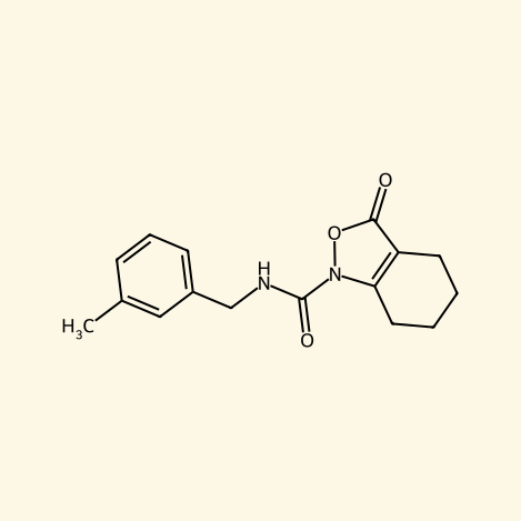 Cc1cccc(CNC(=O)n2oc(=O)c3c2CCCC3)c1